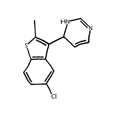 Cc1sc2ccc(Cl)cc2c1C1C=CN=CN1